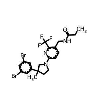 CCC(=O)NCc1ccc(N2CCC(C)(c3cc(Br)cc(Br)c3)C2)nc1C(F)(F)F